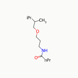 CCCC(=O)NCCCOCC(C)C(C)C